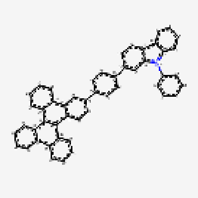 c1ccc(-n2c3ccccc3c3ccc(-c4ccc(-c5ccc6c(c5)c5ccccc5c5c7ccccc7c7ccccc7c65)cc4)cc32)cc1